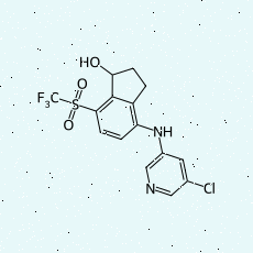 O=S(=O)(c1ccc(Nc2cncc(Cl)c2)c2c1C(O)CC2)C(F)(F)F